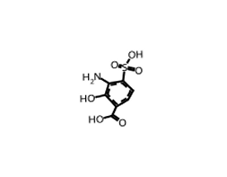 Nc1c(S(=O)(=O)O)ccc(C(=O)O)c1O